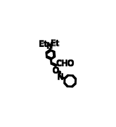 CCN(CC)c1ccc(/C=C(\C=O)O/C=N/C2CCCCCCC2)cc1